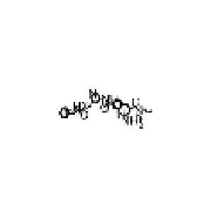 CCCN(CCC)C(=O)C1=Cc2ccc(C(=O)Nc3cncc(CNC(=O)NCc4ccccc4)c3)cc2N=C(N)C1